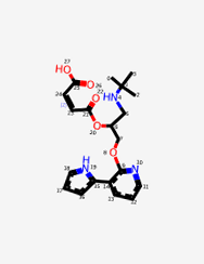 CC(C)(C)NCC(COc1ncccc1-c1ccc[nH]1)OC(=O)/C=C\C(=O)O